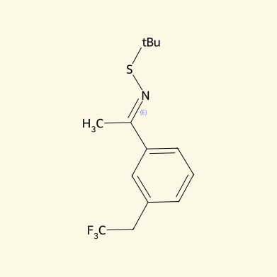 C/C(=N\SC(C)(C)C)c1cccc(CC(F)(F)F)c1